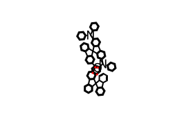 O=C(c1ccc2c(c1)C1(c3ccccc3-2)c2cc(N(c3ccccc3)c3ccccc3)ccc2-c2ccc(N(c3ccccc3)c3ccccc3)cc21)c1ccc2c(c1)C1(c3ccccc3-2)c2ccccc2C2C=CC=CC21